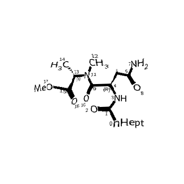 CCCCCCCC(=O)N[C@H](CC(N)=O)C(=O)N(C)[C@@H](C)C(=O)OC